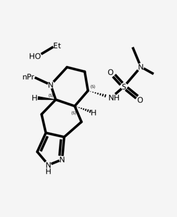 CCCN1CC[C@H](NS(=O)(=O)N(C)C)[C@H]2Cc3n[nH]cc3C[C@@H]21.CCO